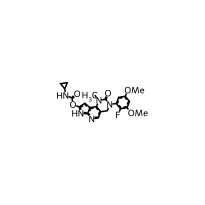 COc1cc(OC)c(F)c(N2Cc3cnc4[nH]c(OC(=O)NC5CC5)cc4c3N(C)C2=O)c1